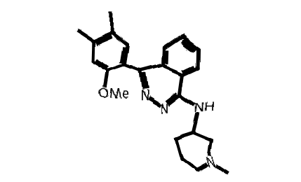 COc1cc(C)c(C)cc1-c1nnc(NC2CCCN(C)C2)c2ccccc12